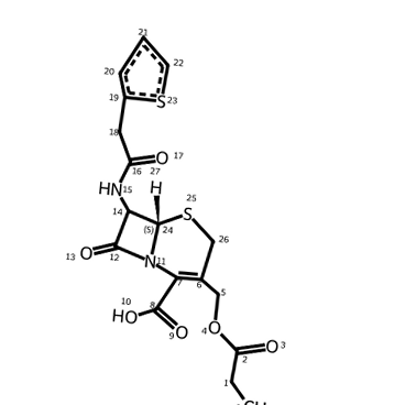 CCC(=O)OCC1=C(C(=O)O)N2C(=O)C(NC(=O)Cc3cccs3)[C@@H]2SC1